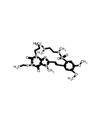 CCCn1c(=O)c2c(nc(C=Cc3cc(OC)c(OC)cc3S(=O)(=O)N(C)CCN(C)C)n2C)n(CCC)c1=O